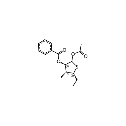 CC[C@@H]1SC(OC(C)=O)[C@H](OC(=O)c2ccccc2)[C@@H]1C